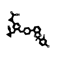 C[C@]1(c2ccc(Cl)cc2F)Oc2cccc(C3CCN(Cc4ncc(C5CC5C(=O)O)cc4CC4(C#N)CC4)CC3)c2O1